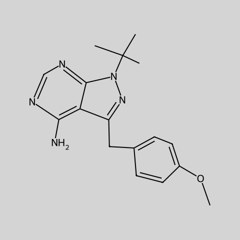 COc1ccc(Cc2nn(C(C)(C)C)c3ncnc(N)c23)cc1